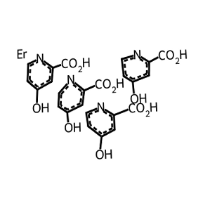 O=C(O)c1cc(O)ccn1.O=C(O)c1cc(O)ccn1.O=C(O)c1cc(O)ccn1.O=C(O)c1cc(O)ccn1.[Er]